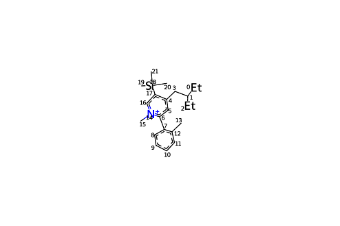 CCC(CC)Cc1cc(-c2ccccc2C)[n+](C)cc1[Si](C)(C)C